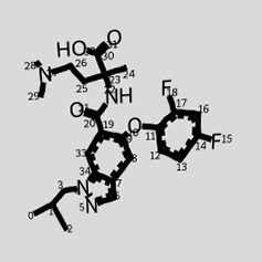 CC(C)Cn1ncc2cc(Oc3ccc(F)cc3F)c(C(=O)NC(C)(CCN(C)C)C(=O)O)cc21